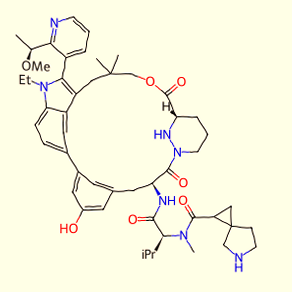 CCn1c(-c2cccnc2[C@H](C)OC)c2c3cc(ccc31)-c1cc(O)cc(c1)C[C@H](NC(=O)[C@H](C(C)C)N(C)C(=O)C1CC13CCNC3)C(=O)N1CCC[C@H](N1)C(=O)OCC(C)(C)C2